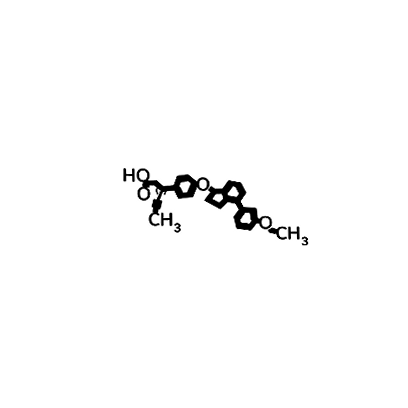 CC#C[C@@H](CC(=O)O)c1ccc(OC2CCc3c(-c4cccc(OCC)c4)cccc32)cc1